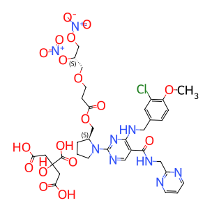 COc1ccc(CNc2nc(N3CCC[C@H]3COC(=O)CCOC[C@@H](CO[N+](=O)[O-])O[N+](=O)[O-])ncc2C(=O)NCc2ncccn2)cc1Cl.O=C(O)CC(O)(CC(=O)O)C(=O)O